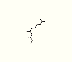 C=C(C)CCCCC(=C)CNCC